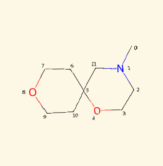 CN1CCOC2(CCOCC2)C1